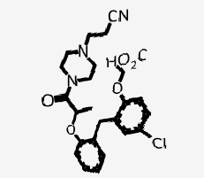 CC(Oc1ccccc1Cc1cc(Cl)ccc1OCC(=O)O)C(=O)N1CCN(CCC#N)CC1